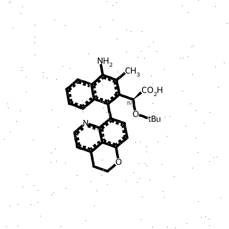 Cc1c([C@H](OC(C)(C)C)C(=O)O)c(-c2ccc3c4c(ccnc24)CCO3)c2ccccc2c1N